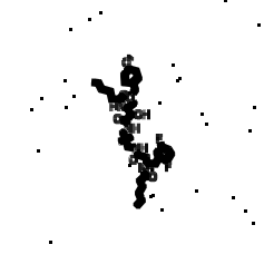 CCCCCC(=O)NC(CC(=O)NCC(C)(C)CNC(=O)C(O)C(COCC1=CCC(OC)C=C1)NC(=O)CCCCC)Cc1cc(F)ccc1F